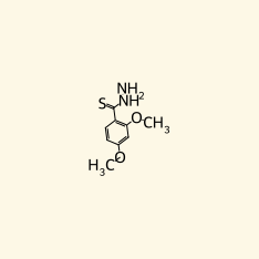 COc1ccc(C(=S)NN)c(OC)c1